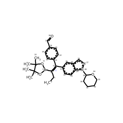 CC/C(B1OC(C)(C)C(C)(C)O1)=C(/c1ccc(C=O)cc1)c1ccc2c(cnn2C2CCCCO2)c1